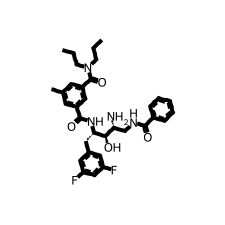 CCCN(CCC)C(=O)c1cc(C)cc(C(=O)N[C@@H](Cc2cc(F)cc(F)c2)[C@H](O)[C@H](N)CNC(=O)c2ccccc2)c1